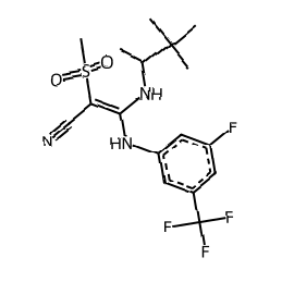 CC(N/C(Nc1cc(F)cc(C(F)(F)F)c1)=C(/C#N)S(C)(=O)=O)C(C)(C)C